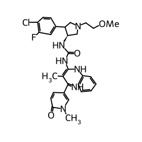 COCCN1CC(c2ccc(Cl)c(F)c2)[C@H](NC(=O)N/C(Nc2ccccc2)=C(\C)C(=N)c2ccc(=O)n(C)c2)C1